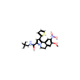 COc1cc2c(cc1[N+](=O)[O-])-c1c(-c3cccs3)cc(C(=O)NCC(C)(C)C)n1CC2